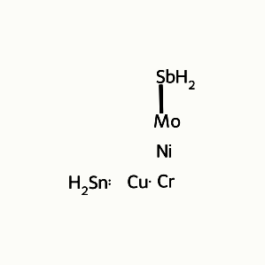 [Cr].[Cu].[Mo][SbH2].[Ni].[SnH2]